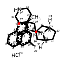 Cc1nc2ccccc2n1C1C[C@H]2CC[C@@H](C1)N2CCC1(c2cccc(F)c2)CCNCC1.Cl